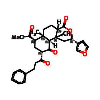 COC(=O)[C@@H]1C[C@@H](C(=O)CCc2ccccc2)C(=O)[C@@H]2[C@@]3(C)C[C@@H](c4ccoc4)OC(=O)[C@H]3CC[C@]21C